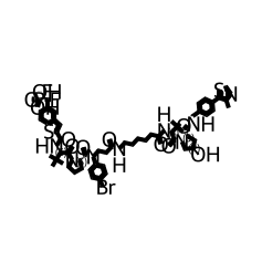 Cc1ncsc1-c1ccc(CNC(=O)[C@@H]2C[C@@H](O)CN2C(=O)[C@@H](NC(=O)CCCCCNC(=O)CCN(C(=O)[C@@H]2CCCN2C(=O)[C@@H](NC(=O)c2cc3cc(C(F)(F)P(=O)(O)O)ccc3s2)C(C)(C)C)c2ccc(Br)cc2)C(C)(C)C)cc1